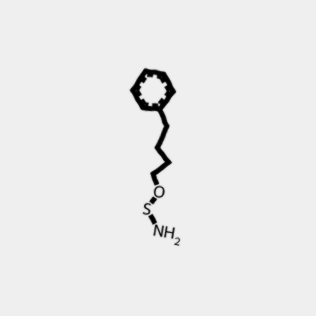 NSOCCCCc1ccccc1